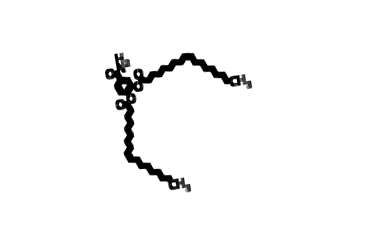 CCCCCCCC/C=C\CCCCCCCC(=O)Oc1ccc(C(N)=O)cc1OC(=O)CCCCCCC/C=C\CCCCCCCC